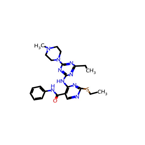 CCSc1ncc(C(=O)Nc2ccccc2)c(Nc2nc(CC)nc(N3CCN(C)CC3)n2)n1